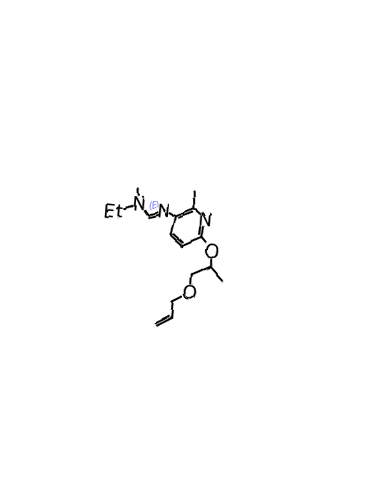 C=CCOCC(C)Oc1ccc(/N=C/N(C)CC)c(C)n1